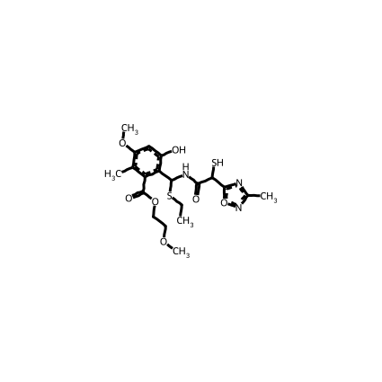 CCSC(NC(=O)C(S)c1nc(C)no1)c1c(O)cc(OC)c(C)c1C(=O)OCCOC